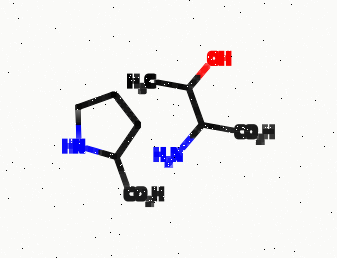 CC(O)C(N)C(=O)O.O=C(O)C1CCCN1